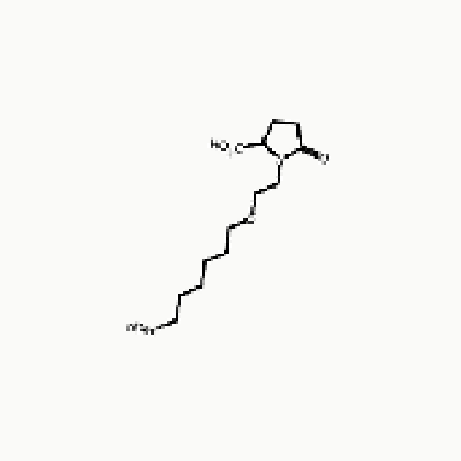 CCCCCCCCCCCCCCCCSCCN1C(=O)CCC1C(=O)O